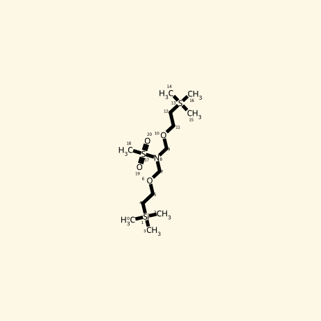 C[Si](C)(C)CCOCN(COCCS(C)(C)C)S(C)(=O)=O